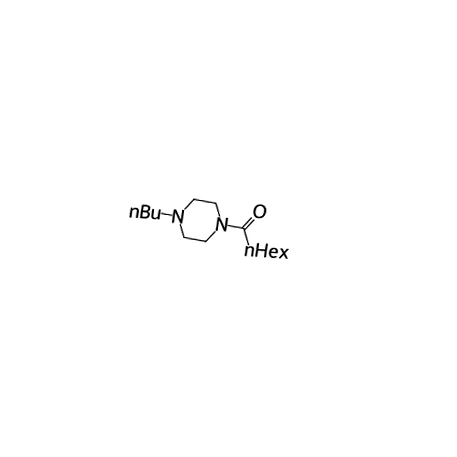 CCCCCCC(=O)N1CCN(CCCC)CC1